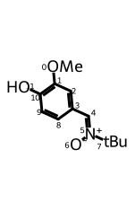 COc1cc(C=[N+]([O-])C(C)(C)C)ccc1O